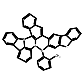 Cc1ccccc1N1B2c3c(cc4ccccc4c3-n3c4ccccc4c4cccc2c43)-c2cc3c(cc21)sc1ccccc13